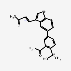 CC(=O)c1cc(-c2cnc3[nH]cc(/C=C/C(N)=O)c3c2)ccc1[C@H](C)O